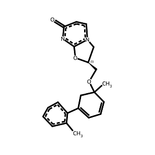 Cc1ccccc1C1=CC=CC(C)(OC[C@@H]2Cn3ccc(=O)nc3O2)C1